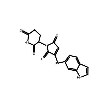 O=C1CCC(N2C(=O)C=C(Nc3ccc4cc[nH]c4c3)C2=O)C(=O)N1